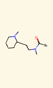 CN(CCC1CCCCN1C)C(=O)C(C)(C)C